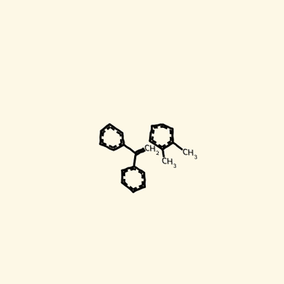 C=C(c1ccccc1)c1ccccc1.Cc1ccccc1C